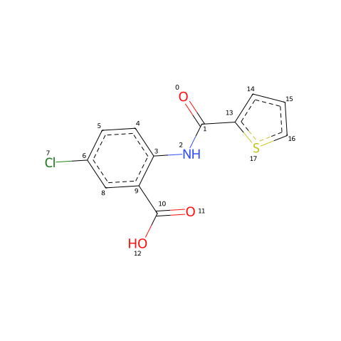 O=C(Nc1ccc(Cl)cc1C(=O)O)c1cccs1